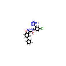 O=C(Nc1ccc(Cl)cc1-c1nnn[nH]1)c1noc2ccc(-c3ccccc3)cc12